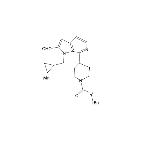 CC(C)(C)OC(=O)N1CCC(c2nccc3cc(C=O)n(CC4CC4)c23)CC1.[Mn]